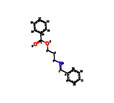 O=C(OCCCN=Cc1ccccc1)c1ccccc1